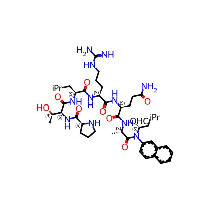 CC(C)C[C@H](NC(=O)[C@@H](NC(=O)[C@@H]1CCCN1)[C@@H](C)O)C(=O)N[C@@H](CCCNC(=N)N)C(=O)N[C@@H](CCC(N)=O)C(=O)N[C@@H](C)C(=O)N(c1ccc2ccccc2c1)[C@H]([C]=O)CC(C)C